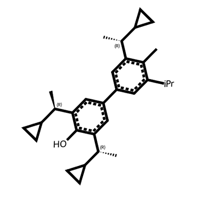 Cc1c(C(C)C)cc(-c2cc([C@H](C)C3CC3)c(O)c([C@H](C)C3CC3)c2)cc1[C@H](C)C1CC1